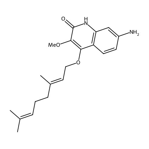 COc1c(OC/C=C(\C)CCC=C(C)C)c2ccc(N)cc2[nH]c1=O